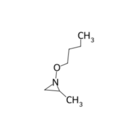 CCCCON1CC1C